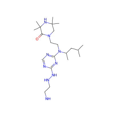 CC(C)CC(C)N(CCN1CC(C)(C)NC(C)(C)C1=O)c1n[c]nc(NNCC[NH])n1